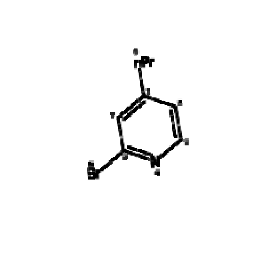 CCCc1ccnc(Br)c1